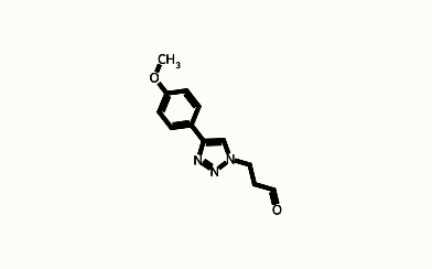 COc1ccc(-c2cn(CCC=O)nn2)cc1